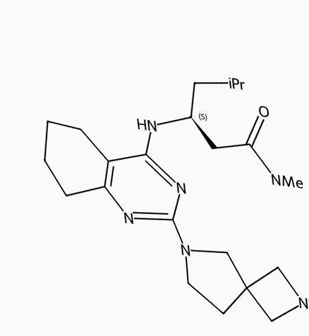 CNC(=O)C[C@H](CC(C)C)Nc1nc(N2CCC3(CNC3)C2)nc2c1CCCC2